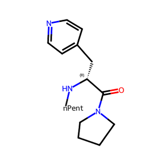 CCCCCN[C@H](Cc1ccncc1)C(=O)N1CCCC1